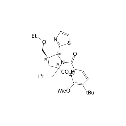 CCOC[C@@H]1C[C@@](CC(C)C)(C(=O)O)N(C(=O)c2ccc(C(C)(C)C)c(OC)c2)[C@H]1c1nccs1